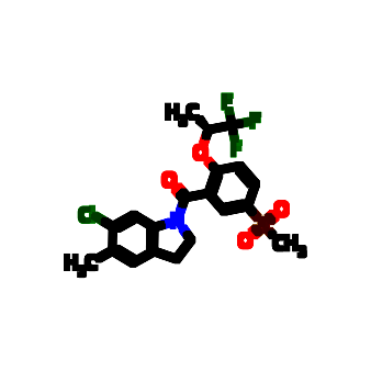 Cc1cc2c(cc1Cl)N(C(=O)c1cc(S(C)(=O)=O)ccc1O[C@@H](C)C(F)(F)F)CC2